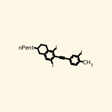 CCCCCC1CCc2c(cc(I)c(C#Cc3ccc(C)c(I)c3)c2I)C1